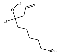 C=CCC(CC)(CCCCCCCCCCCCC)OCC